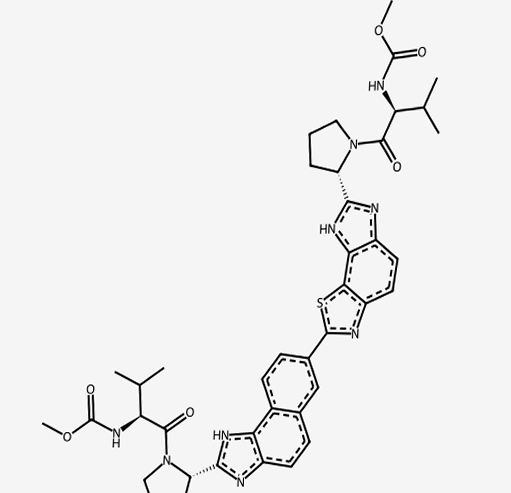 COC(=O)N[C@H](C(=O)N1CCC[C@H]1c1nc2ccc3cc(-c4nc5ccc6nc([C@@H]7CCCN7C(=O)[C@@H](NC(=O)OC)C(C)C)[nH]c6c5s4)ccc3c2[nH]1)C(C)C